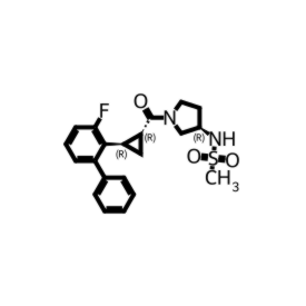 CS(=O)(=O)N[C@@H]1CCN(C(=O)[C@@H]2C[C@H]2c2c(F)cccc2-c2ccccc2)C1